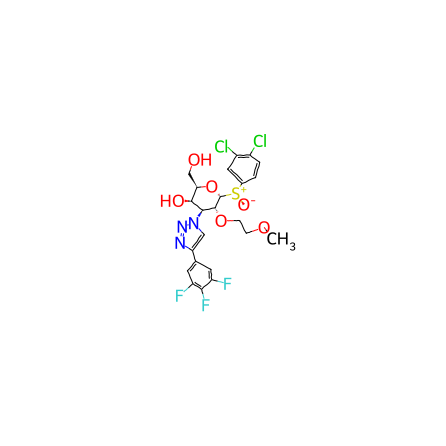 COCCO[C@@H]1[C@@H](n2cc(-c3cc(F)c(F)c(F)c3)nn2)[C@@H](O)[C@@H](CO)O[C@@H]1[S@+]([O-])c1ccc(Cl)c(Cl)c1